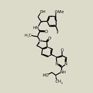 COc1cc(F)cc(C(CO)NC(=O)C(C)N2Cc3ccc(-c4nc(NC(C)CO)ncc4Cl)cc3C2=O)c1